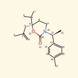 C=C(C)C[C@]1(C(C)C)CCN([C@@H](C)c2ccc(C)cc2)C(=O)O1